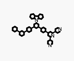 c1ccc(-c2cccc(-c3ccc(-c4cc(-c5ccc(-c6cc(-c7ccncc7)nc(-c7ccncc7)c6)cc5)cc(-n5c6ccccc6c6ccccc65)c4)cc3)c2)cc1